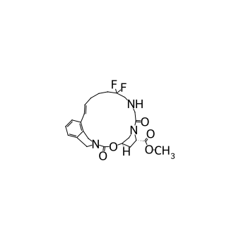 COC(=O)[C@@H]1C[C@@H]2CN1C(=O)CNCC(F)(F)CCC/C=C/c1cccc3c1CN(C3)C(=O)O2